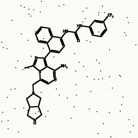 Cc1nc(-c2ccc(NC(=O)Nc3cccc(C(F)(F)F)c3)c3ccccc23)c2c(N)ncc(CN3CC4CNCC4C3)n12